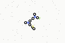 Fc1ccc(N(c2ccccc2)c2ccc(-c3ccc4c(c3)c3cc(-c5cc6ccccc6s5)ccc3n4-c3ccccc3)cc2)cc1